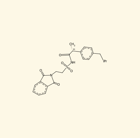 CC(C)Cc1ccc([C@@H](C)C(=O)NS(=O)(=O)CCN2C(=O)c3ccccc3C2=O)cc1